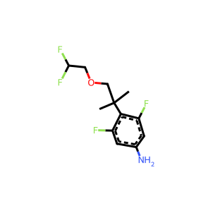 CC(C)(COCC(F)F)c1c(F)cc(N)cc1F